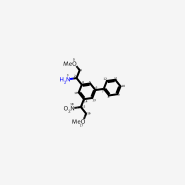 COCC(N)c1cc(-c2ccccc2)cc(C(COC)[N+](=O)[O-])c1